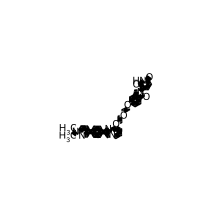 CN(C)c1ccc(-c2ccc(-c3cn4cccc(OCCOCCOc5ccc6c(c5)CN(C5CCC(=O)NC5=O)C6=O)c4n3)cc2)cn1